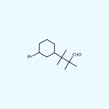 CC(C)C1CCCC(C(C)(C)C(C)(C)C=O)C1